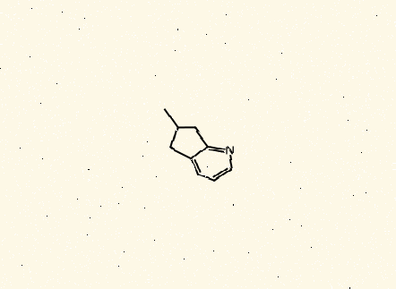 CC1Cc2cccnc2C1